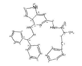 CN(CCc1ccccn1)C(=O)NCc1nc(NCC(c2ccccc2)c2ccccc2)c2nc[nH]c2n1